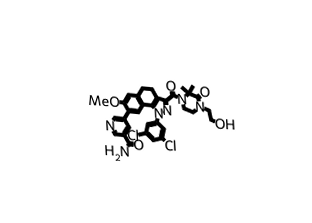 COc1cc2c(cc1-c1cncc(C(N)=O)c1)-c1c(c(C(=O)N3CCN(CCO)C(=O)C3(C)C)nn1-c1cc(Cl)cc(Cl)c1)CC2